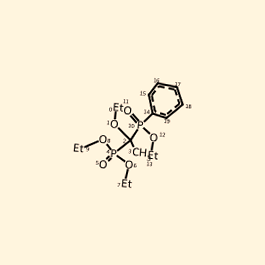 CCOC(C)(P(=O)(OCC)OCC)P(=O)(OCC)c1ccccc1